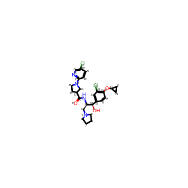 O=C(N[C@H](CN1CCCC1)[C@H](O)c1ccc(OC2CC2)c(Cl)c1)C1CCN(c2ccc(Cl)cn2)C1